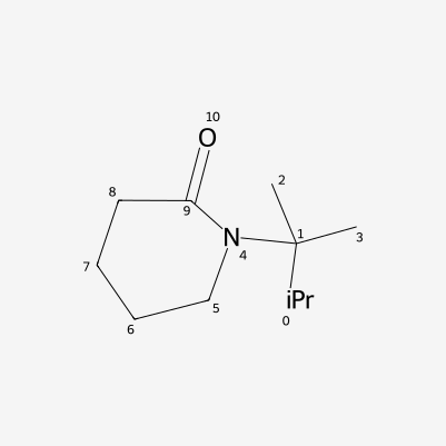 CC(C)C(C)(C)N1CCCCC1=O